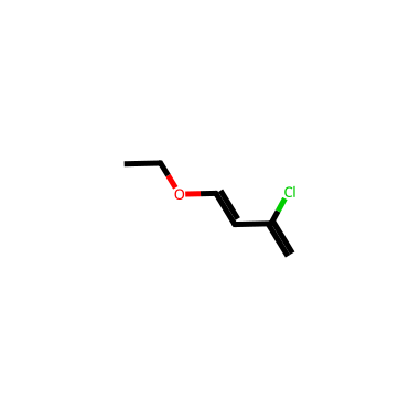 C=C(Cl)/C=C/OCC